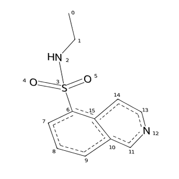 CCNS(=O)(=O)c1cccc2cnccc12